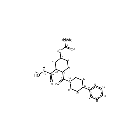 CNC(=O)OC1CCC(C(=O)N2CCC(c3ccccc3)CC2)C(C(=O)NO)C1